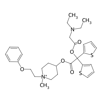 CCN(CC)CC(=O)OC(C(=O)OC1CC[N+](C)(CCOc2ccccc2)CC1)(c1cccs1)c1cccs1